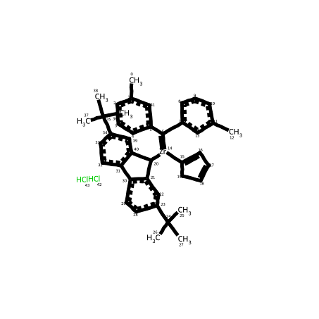 Cc1cccc([C](c2cccc(C)c2)=[Zr]([C]2=CC=CC2)[CH]2c3cc(C(C)(C)C)ccc3-c3ccc(C(C)(C)C)cc32)c1.Cl.Cl